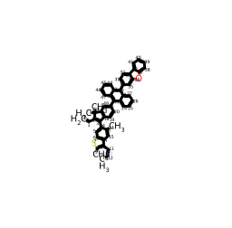 C=CC1=C(c2cc3sc(C)c(/C=C\C)c3cc2C)c2ccc(-c3c4ccccc4c(-c4ccc5c(c4)oc4ccccc45)c4ccccc34)cc2C1(C)C